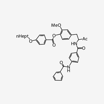 CCCCCCCOc1ccc(C(=O)Oc2ccc(CC(NC(=O)c3ccc(NC(=O)c4ccccc4)cc3)C(C)=O)cc2OC)cc1